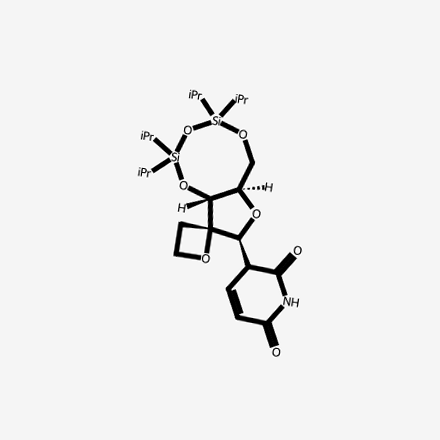 CC(C)[Si]1(C(C)C)OC[C@H]2O[C@@H](C3C=CC(=O)NC3=O)[C@@]3(CCO3)[C@@H]2O[Si](C(C)C)(C(C)C)O1